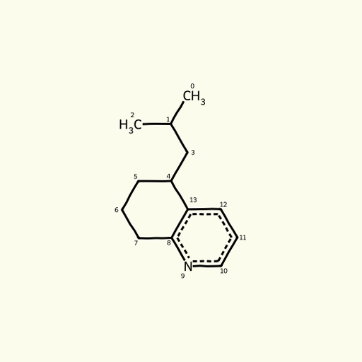 CC(C)CC1CCCc2ncccc21